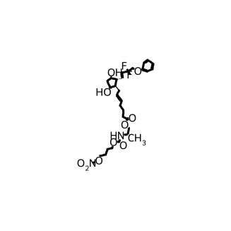 CC(COC(=O)CCCC=CC[C@@H]1[C@@H](C=CC(F)(F)COc2ccccc2)[C@H](O)C[C@@H]1O)NC(=O)OCCCCO[N+](=O)[O-]